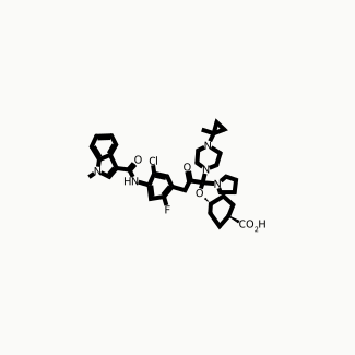 Cn1cc(C(=O)Nc2cc(F)c(CC(=O)C(O[C@H]3CC[C@H](C(=O)O)CC3)(N3CCCC3)N3CCN(C4(C)CC4)CC3)cc2Cl)c2ccccc21